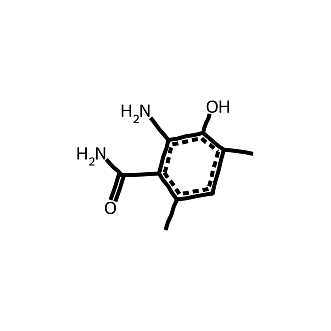 Cc1cc(C)c(C(N)=O)c(N)c1O